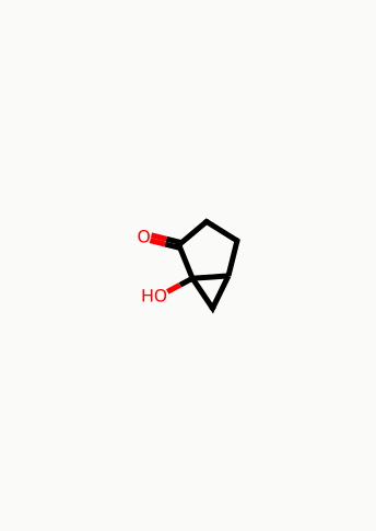 O=C1CCC2CC12O